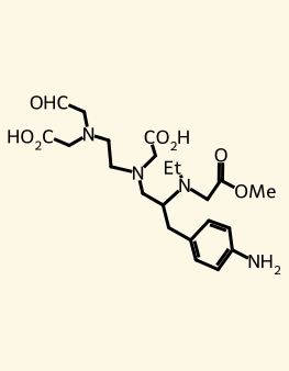 CCN(CC(=O)OC)C(Cc1ccc(N)cc1)CN(CCN(CC=O)CC(=O)O)CC(=O)O